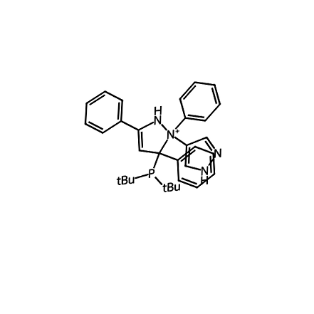 CC(C)(C)P(C(C)(C)C)C1(c2ccccc2)C=C(c2ccccc2)N[N+]1(c1ccccc1)c1cn[nH]c1